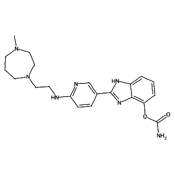 CN1CCCN(CCNc2ccc(-c3nc4c(OC(N)=O)cccc4[nH]3)cn2)CC1